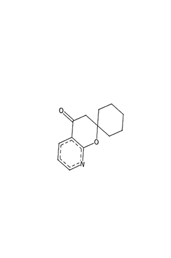 O=C1CC2(CCCCC2)Oc2ncccc21